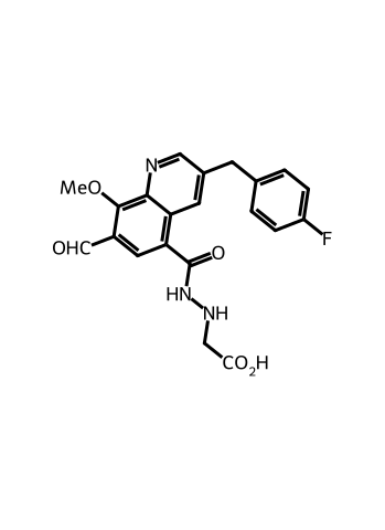 COc1c(C=O)cc(C(=O)NNCC(=O)O)c2cc(Cc3ccc(F)cc3)cnc12